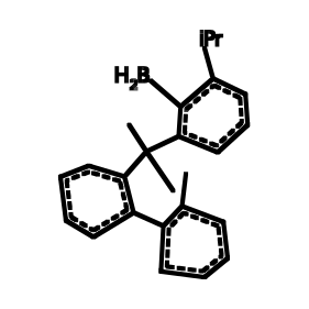 Bc1c(C(C)C)cccc1C(C)(C)c1ccccc1-c1ccccc1C